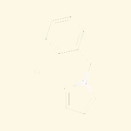 [Br-].[C+]1=CC=CN1Cc1ccccc1